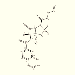 C=CCOC(=O)[C@@H]1N2C(=O)[C@@](Br)([C@H](O)C(=O)c3ccc4ccccc4c3)[C@H]2SC1(C)C